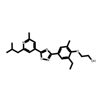 CCc1cc(-c2noc(-c3cc(C)nc(CC(C)C)c3)n2)cc(C)c1OCCO